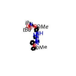 COc1cc(Nc2nccc(-n3ccnc3-c3ccccc3Oc3ccccc3OC)n2)ccc1OCCN(C(=O)OC(C)(C)C)C(C)C